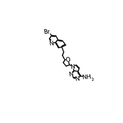 Nc1ncnc2c1ccn2C1CCC(CCc2ccc3cc(Br)cnc3c2)O1